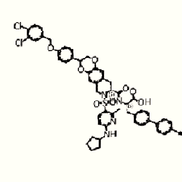 Cc1nc(NC2CCCC2)ccc1S(=O)(=O)N1Cc2cc3c(cc2C[C@H]1C(=O)N[C@@H](Cc1ccc(-c2ccc(C#N)cc2)cc1)C(=O)O)OCC(c1ccc(OCc2ccc(Cl)c(Cl)c2)cc1)O3